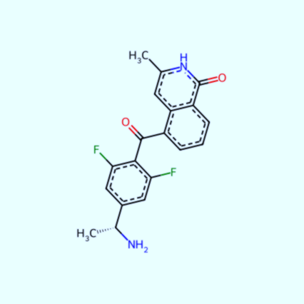 Cc1cc2c(C(=O)c3c(F)cc([C@@H](C)N)cc3F)cccc2c(=O)[nH]1